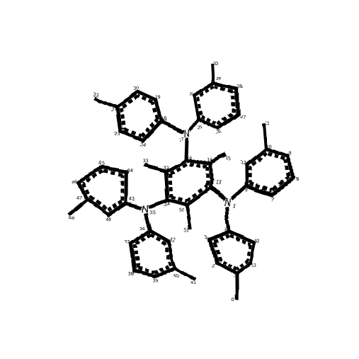 Cc1ccc(N(c2cccc(C)c2)c2c(C)c(N(c3ccc(C)cc3)c3cccc(C)c3)c(C)c(N(c3cccc(C)c3)c3cccc(C)c3)c2C)cc1